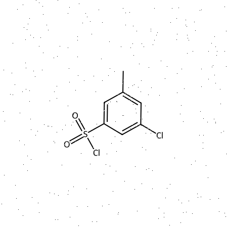 Cc1cc(Cl)cc(S(=O)(=O)Cl)c1